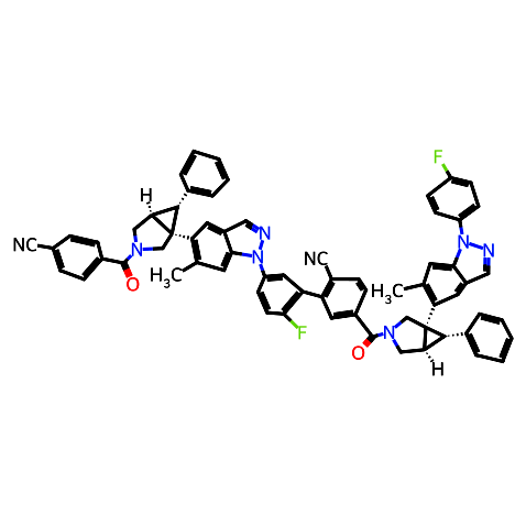 Cc1cc2c(cnn2-c2ccc(F)cc2)cc1[C@@]12CN(C(=O)c3ccc(C#N)c(-c4cc(-n5ncc6cc([C@]78CN(C(=O)c9ccc(C#N)cc9)C[C@H]7[C@@H]8c7ccccc7)c(C)cc65)ccc4F)c3)C[C@@H]1[C@H]2c1ccccc1